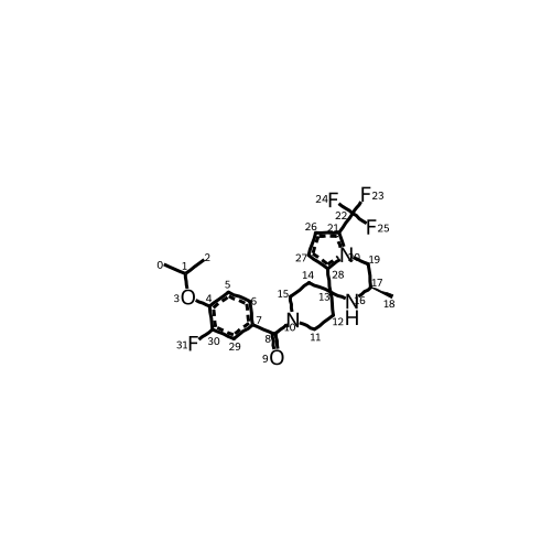 CC(C)Oc1ccc(C(=O)N2CCC3(CC2)N[C@H](C)Cn2c(C(F)(F)F)ccc23)cc1F